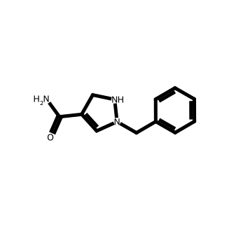 NC(=O)C1=CN(Cc2ccccc2)NC1